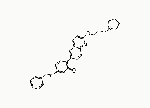 O=c1cc(OCc2ccccc2)ccn1-c1ccc2nc(OCCCN3CCCC3)ccc2c1